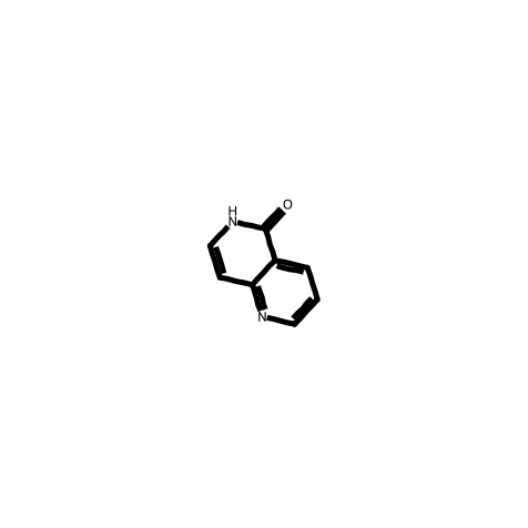 O=c1[nH]ccc2n[c]ccc12